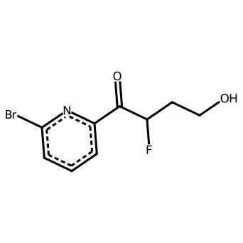 O=C(c1cccc(Br)n1)C(F)CCO